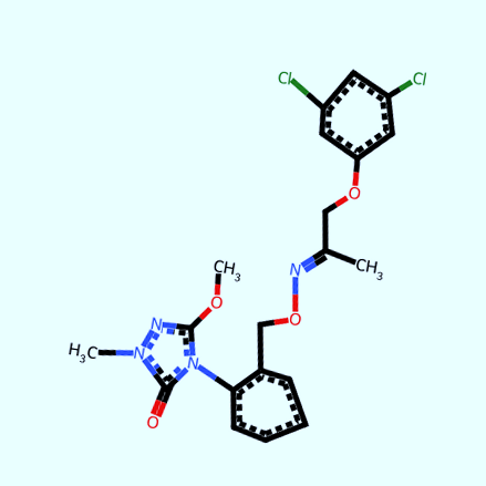 COc1nn(C)c(=O)n1-c1ccccc1CO/N=C(\C)COc1cc(Cl)cc(Cl)c1